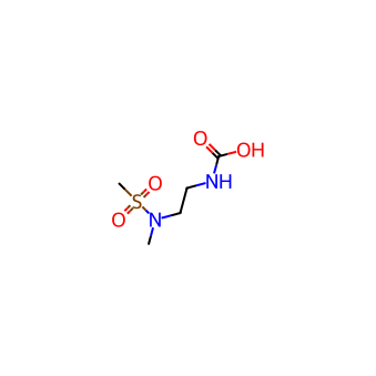 CN(CCNC(=O)O)S(C)(=O)=O